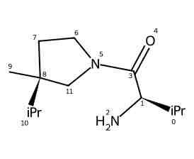 CC(C)[C@@H](N)C(=O)N1CC[C@](C)(C(C)C)C1